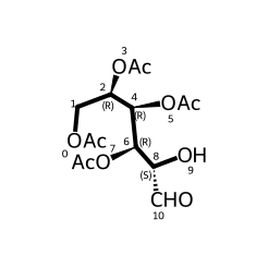 CC(=O)OC[C@@H](OC(C)=O)[C@@H](OC(C)=O)[C@H](OC(C)=O)[C@H](O)C=O